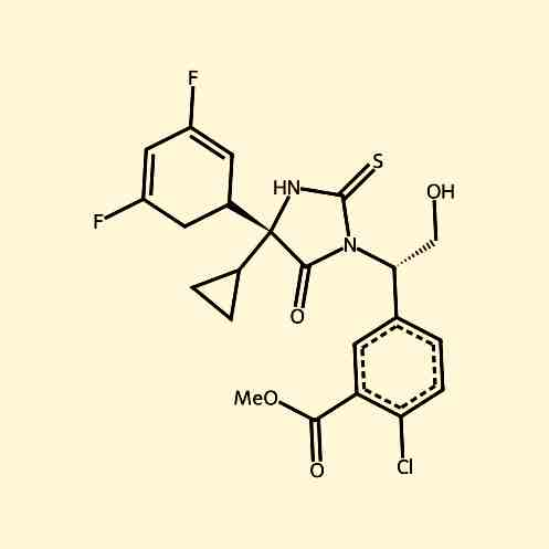 COC(=O)c1cc([C@@H](CO)N2C(=O)[C@](C3C=C(F)C=C(F)C3)(C3CC3)NC2=S)ccc1Cl